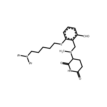 CC(C)N(CCCCCSc1cccc(C=O)c1CN(C)C1CCC(=O)NC1=O)C(C)C